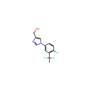 CC(F)(F)c1cc(-n2cnc(CO)c2)ccc1F